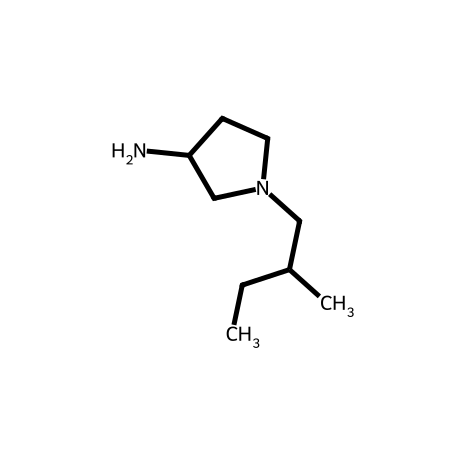 CCC(C)CN1CCC(N)C1